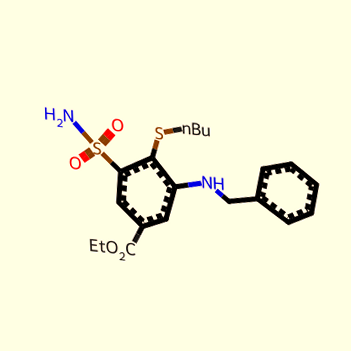 CCCCSc1c(NCc2ccccc2)cc(C(=O)OCC)cc1S(N)(=O)=O